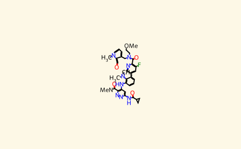 CNC(=O)c1nnc(NC(=O)C2CC2)cc1Nc1cccc(-c2cnc(C(=O)N(CCOC)CC3=CC=CN(C)C3=C=O)c(F)c2)c1N(C)C